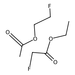 CC(=O)OCCF.CCOC(=O)CF